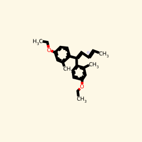 C/C=C/C=C(c1ccc(OCC)cc1C)c1ccc(OCC)cc1C